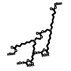 CCCCCCCCCOC(=O)CCCCCCCN(CCCCCCCC(=O)OC(CCCCCCCC)CCCCCCCC)CCOC(=O)OCCN(CCCCCCCC(=O)OCCCCCCCCC)CCCCCCCC(=O)OC(CCCCCCCC)CCCCCCCC